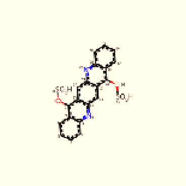 O=S(=O)(O)Oc1c2ccccc2nc2cc3c(OS(=O)(=O)O)c4ccccc4nc3cc12